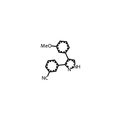 COc1cccc(-c2c[nH]nc2-c2cccc(C#N)c2)c1